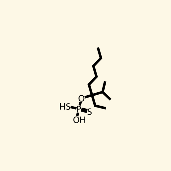 CCCCCC(CC)(OP(O)(=S)S)C(C)C